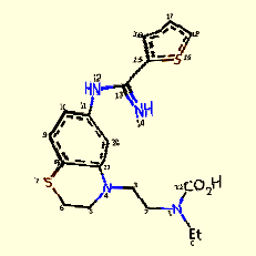 CCN(CCN1CCSc2ccc(NC(=N)c3cccs3)cc21)C(=O)O